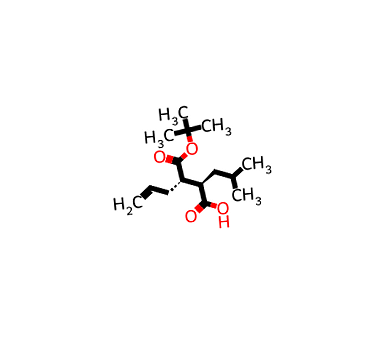 C=CC[C@H](C(=O)OC(C)(C)C)[C@@H](CC(C)C)C(=O)O